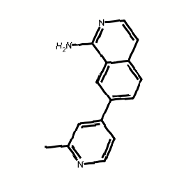 Cc1cc(-c2ccc3ccnc(N)c3c2)ccn1